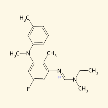 CCN(C)/C=N/c1cc(F)cc(N(C)c2cccc(C)c2)c1C